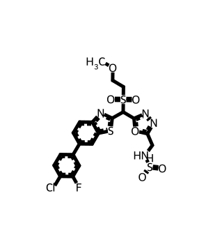 COCCS(=O)(=O)C(c1nnc(CN[SH](=O)=O)o1)c1nc2ccc(-c3ccc(Cl)c(F)c3)cc2s1